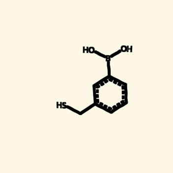 OB(O)c1cccc(CS)c1